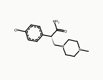 CN1CCN(C[C@@H](C(N)=O)c2ccc(Cl)cc2)CC1